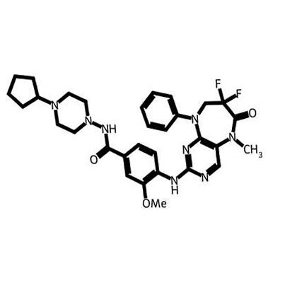 COc1cc(C(=O)NN2CCN(C3CCCC3)CC2)ccc1Nc1ncc2c(n1)N(c1ccccc1)CC(F)(F)C(=O)N2C